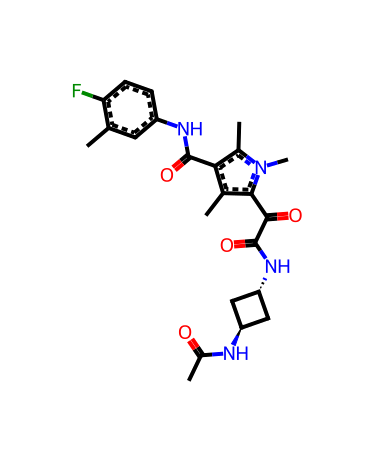 CC(=O)N[C@H]1C[C@H](NC(=O)C(=O)c2c(C)c(C(=O)Nc3ccc(F)c(C)c3)c(C)n2C)C1